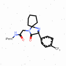 CCCC(C)NC(=O)CN1C(=O)C(c2ccc(C(F)(F)F)cc2)=NC12CCCCC2